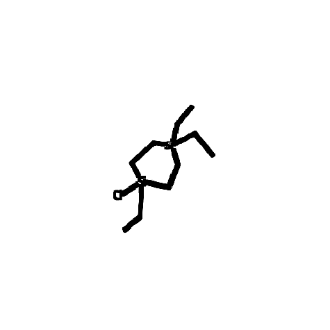 CC[Si]1(Cl)CC[Si](CC)(CC)CC1